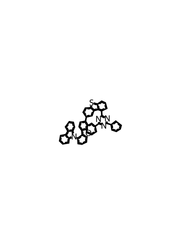 c1ccc(-c2nc(-c3ccccc3)nc(-c3cccc4sc5ccc(-c6ccc7c(c6)oc6cccc(-n8c9ccccc9c9ccccc98)c67)cc5c34)n2)cc1